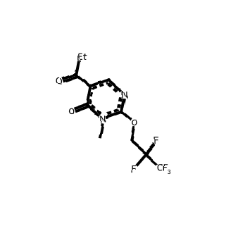 CCC(=O)c1cnc(OCC(F)(F)C(F)(F)F)n(C)c1=O